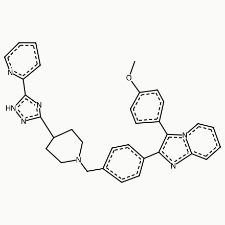 COc1ccc(-c2c(-c3ccc(CN4CCC(c5n[nH]c(-c6ccccn6)n5)CC4)cc3)nc3ccccn23)cc1